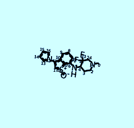 CN1CCC(Nc2cccc3c(-n4cccc4)c[s+]([O-])c23)C(F)(F)C1